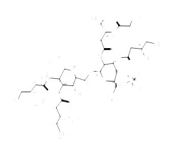 CCCCCCCCCCCC(=O)O[C@H](CCCCCCCCCCC)CC(=O)NC1C(OC(=O)C[C@H](O)CCCCCCCCCCC)[C@H](OP(=O)(O)O)C(CO)O[C@H]1OCC1O[C@@H](C)C(NC(=O)C[C@H](O)CCCCCCCCCCC)C(OC(=O)C[C@H](O)CCCCCCCCCCC)[C@@H]1O